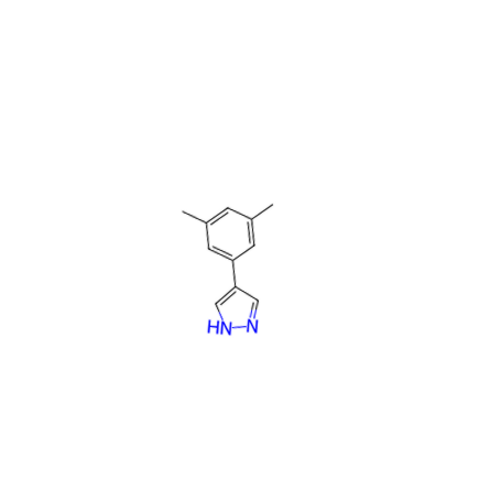 Cc1cc(C)cc(-c2cn[nH]c2)c1